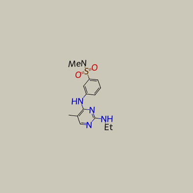 CCNc1ncc(C)c(Nc2cccc(S(=O)(=O)NC)c2)n1